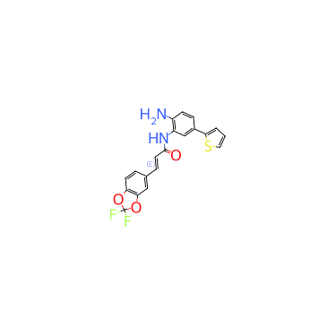 Nc1ccc(-c2cccs2)cc1NC(=O)/C=C/c1ccc2c(c1)OC(F)(F)O2